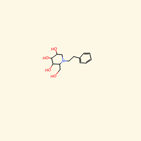 OCC1C(O)C(O)C(O)CN1CCc1ccccc1